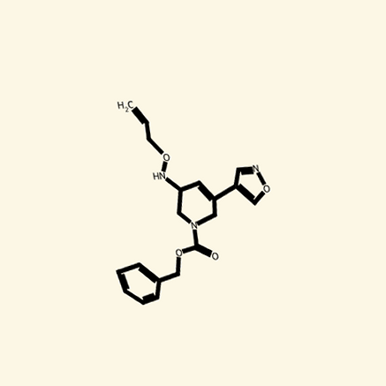 C=CCONC1C=C(c2cnoc2)CN(C(=O)OCc2ccccc2)C1